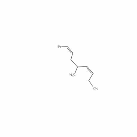 CC(C)/C=C\CC(C)/C=C\CC#N